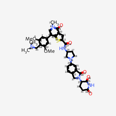 COc1cc(-c2cn(C)c(=O)c3cc(C(=O)NC4CCN(c5ccc6c(c5)C(=O)N(C5CCC(=O)NC5=O)C6)C4)sc23)cc(OC)c1CN(C)C